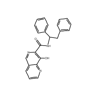 O=C(NC(Cc1ccccc1)c1ccccc1)c1ncc2cccnc2c1O